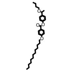 CCCCCCCCCCCCCOc1ccc(C(=O)Oc2ccc(C(C)OCCCC)cc2)cc1